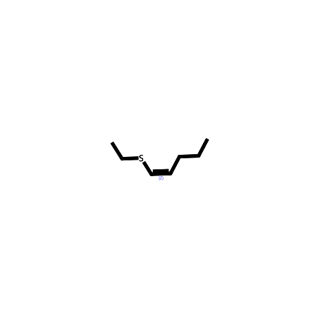 CCC/C=C\SCC